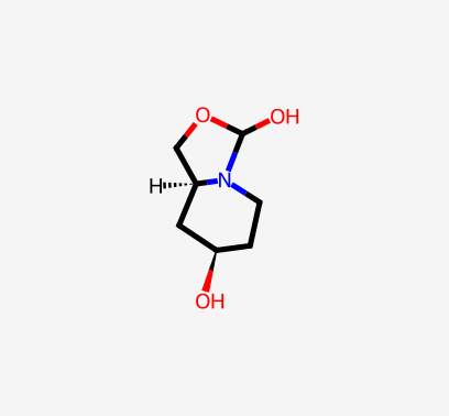 OC1OC[C@@H]2C[C@H](O)CCN12